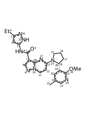 CCc1cc(NC(=O)c2cnn3ccc(N4CCC[C@@H]4c4cc(C)cnc4OC)nc23)[nH]n1